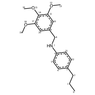 CCCc1ccc(NCc2cc(OC)c(OC)c(OC)c2)cc1